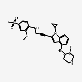 COc1cc(S(C)(=O)=O)ccc1NCC#Cc1cc2c(N[C@@H]3CCNC[C@@H]3F)cccc2n1C1CC1